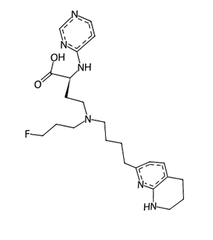 O=C(O)[C@H](CCN(CCCF)CCCCc1ccc2c(n1)NCCC2)Nc1ccncn1